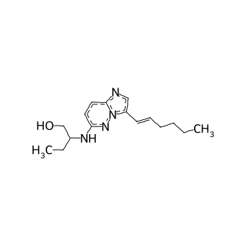 CCCCC=Cc1cnc2ccc(NC(CC)CO)nn12